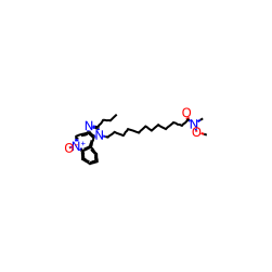 CCCc1nc2c[n+]([O-])c3ccccc3c2n1CCCCCCCCCCCC(=O)N(C)OC